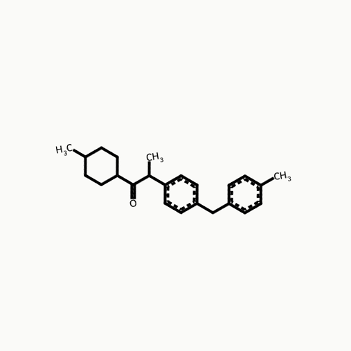 Cc1ccc(Cc2ccc(C(C)C(=O)C3CCC(C)CC3)cc2)cc1